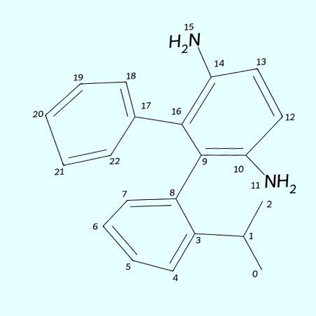 CC(C)c1ccccc1-c1c(N)ccc(N)c1-c1ccccc1